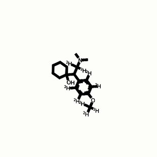 [2H]c1c([2H])c(C(C2(O)CCCCC2)C([2H])([2H])N(C)C)c([2H])c([2H])c1OC([2H])([2H])[2H]